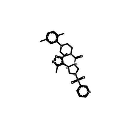 Cc1ccc(C)c(N2CCN(C(=O)[C@@H]3CN(S(=O)(=O)c4cccnc4)C[C@H]3c3c(C)noc3C)CC2)c1